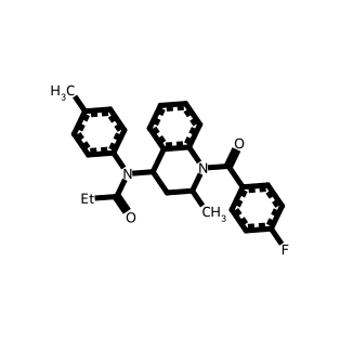 CCC(=O)N(c1ccc(C)cc1)C1CC(C)N(C(=O)c2ccc(F)cc2)c2ccccc21